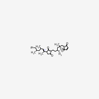 C/C(=C\C(C)CC(C)CC(C)C)C1CC(=O)N(CCC(C)CC(C)(C)CN2C(=O)C=CC2=O)C1=O